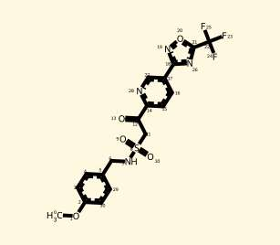 COc1ccc(CNS(=O)(=O)CC(=O)c2ccc(-c3noc(C(F)(F)F)n3)cn2)cc1